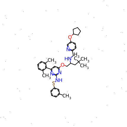 Cc1cccc(SNc2nc(OCC(CC(C)(C)C)NCc3ccc(OC4CCCC4)cn3)cc(-c3c(C)cccc3C)n2)c1